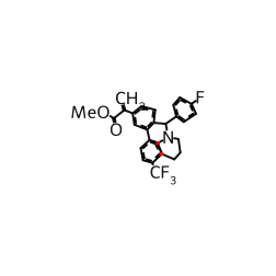 C=C(C(=O)OC)c1ccc(C(c2ccc(F)cc2)N2CCCCC2)c(-c2ccc(C(F)(F)F)cc2)c1